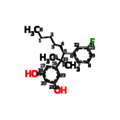 CCCCC[C@@H](c1cccc(F)c1)C(C)(C)c1cc(O)cc(O)c1